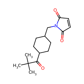 CC(C)(C)C(=O)C1CCC(CN2C(=O)C=CC2=O)CC1